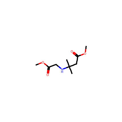 COC(=O)CNC(C)(C)CC(=O)OC